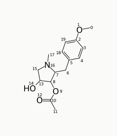 COc1ccc(CC2C(OC(C)=O)C(O)CN2C)cc1